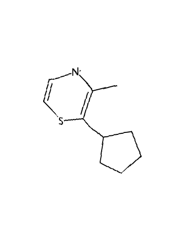 CC1=C(C2CCCC2)SC=C[N]1